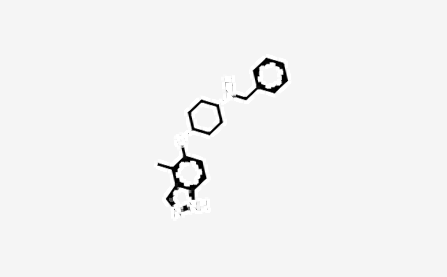 Cc1c(O[C@H]2CC[C@@H](NCc3ccccc3)CC2)ccc2[nH]ncc12